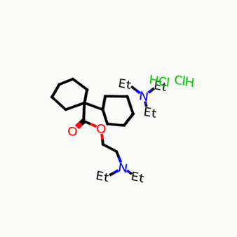 CCN(CC)CC.CCN(CC)CCOC(=O)C1(C2CCCCC2)CCCCC1.Cl.Cl